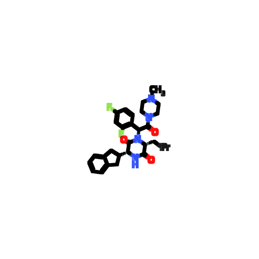 CC(C)C[C@@H]1C(=O)N[C@H](C2Cc3ccccc3C2)C(=O)N1[C@@H](C(=O)N1CCN(C)CC1)c1ccc(F)cc1F